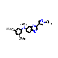 CC[C@@H](C)N(c1cc(OC)cc(OC)c1)c1ccc2ncc(-c3cnn(C)c3)nc2c1